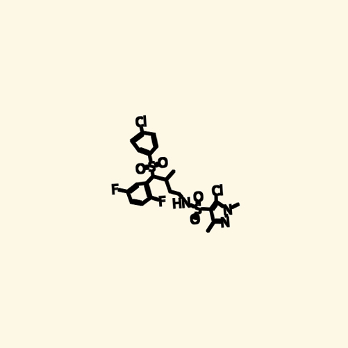 Cc1nn(C)c(Cl)c1S(=O)(=O)NCCC(C)C(c1cc(F)ccc1F)S(=O)(=O)c1ccc(Cl)cc1